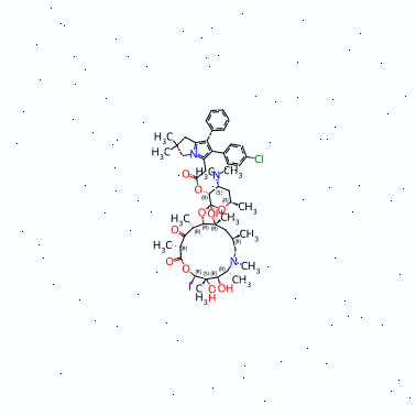 C[C@H]1CN(C)[C@H](C)[C@@H](O)[C@](C)(O)[C@@H](I)OC(=O)[C@H](C)C(=O)[C@H](C)[C@@H](O[C@@H]2O[C@H](C)C[C@H](N(C)C)[C@H]2OC(=O)Cc2c(-c3ccc(Cl)cc3)c(-c3ccccc3)c3n2CC(C)(C)C3)[C@](C)(O)C1